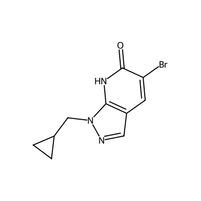 O=c1[nH]c2c(cnn2CC2CC2)cc1Br